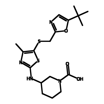 Cc1nc(NC2CCCN(C(=O)O)C2)sc1SCc1ncc(C(C)(C)C)o1